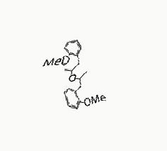 COc1ccccc1CC(C)OC(C)Cc1ccccc1OC